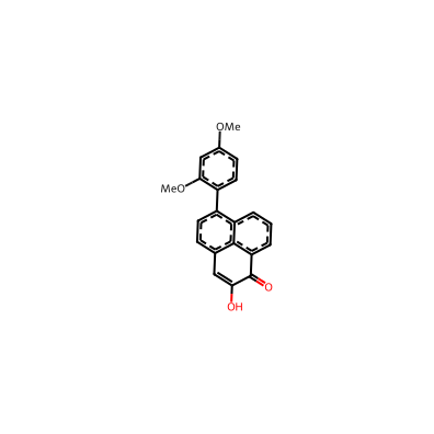 COc1ccc(-c2ccc3c4c(cccc24)C(=O)C(O)=C3)c(OC)c1